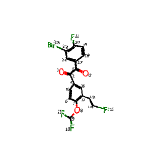 O=C(C(=O)c1ccc(OC(F)F)c(CCF)c1)c1ccc(F)c(Br)c1